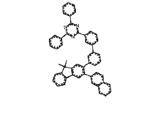 CC1(C)c2ccccc2-c2cc(-c3ccc4ccccc4c3)c(-c3cccc(-c4cccc(-c5nc(-c6ccccc6)nc(-c6ccccc6)n5)c4)c3)cc21